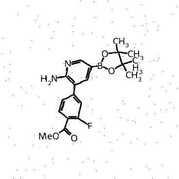 COC(=O)c1ccc(-c2cc(B3OC(C)(C)C(C)(C)O3)cnc2N)cc1F